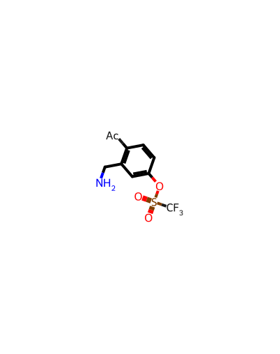 CC(=O)c1ccc(OS(=O)(=O)C(F)(F)F)cc1CN